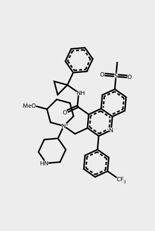 COC1CCC[N+](Cc2c(-c3cccc(C(F)(F)F)c3)nc3ccc(S(C)(=O)=O)cc3c2C(=O)NC2(c3ccccc3)CC2)(C2CCNCC2)C1